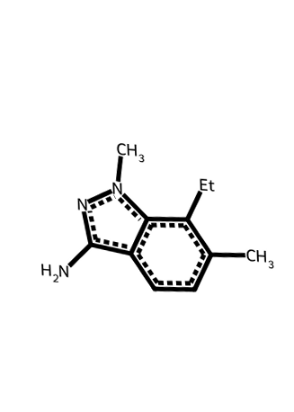 CCc1c(C)ccc2c(N)nn(C)c12